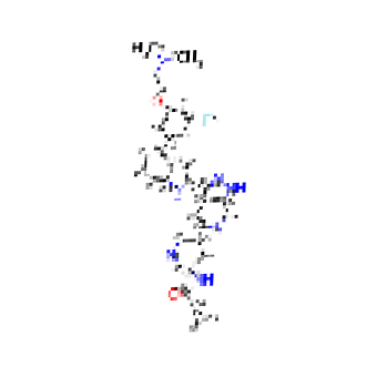 CN(C)CCOc1cc(F)cc(-c2cccc3[nH]c(-c4n[nH]c5cnc(-c6cncc(NC(=O)C7CC7)c6)cc45)cc23)c1